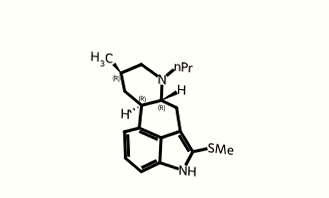 CCCN1C[C@H](C)C[C@@H]2c3cccc4[nH]c(SC)c(c34)C[C@H]21